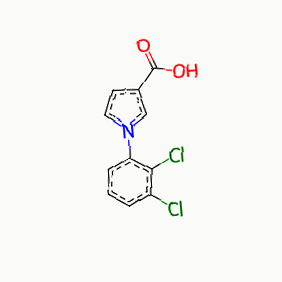 O=C(O)c1ccn(-c2cccc(Cl)c2Cl)c1